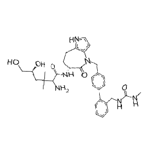 CNC(=O)NCc1ccccc1-c1ccc(CN2C(=O)[C@H](NC(=O)C(N)C(C)(C)C[C@H](O)CO)CCc3[nH]ccc32)cc1